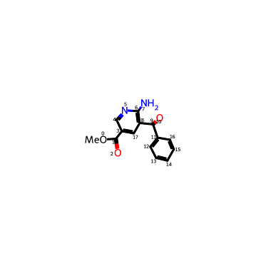 COC(=O)c1cnc(N)c(C(=O)c2ccccc2)c1